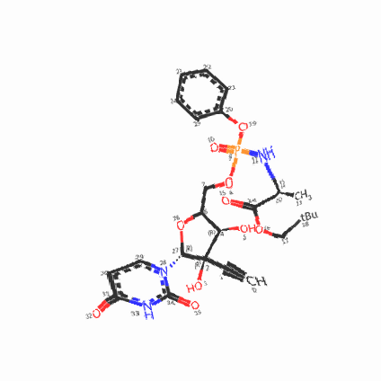 C#C[C@@]1(O)[C@H](O)C(COP(=O)(N[C@@H](C)C(=O)OCC(C)(C)C)Oc2ccccc2)O[C@H]1n1ccc(=O)[nH]c1=O